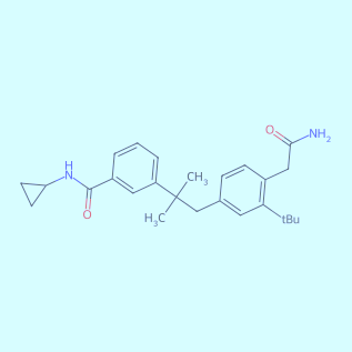 CC(C)(C)c1cc(CC(C)(C)c2cccc(C(=O)NC3CC3)c2)ccc1CC(N)=O